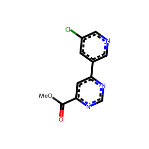 COC(=O)c1cc(-c2cncc(Cl)c2)ncn1